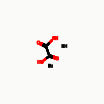 O=C(O)C(=O)O.[KH].[Ru]